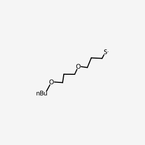 CCCCOCCCOCCC[S]